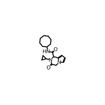 O=C(NC1CCCCCCC1)C1c2cccn2CC(=O)N1C1CC1